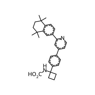 CC1(C)CCC(C)(C)c2cc(-c3cc(-c4ccc(C5(NC(=O)O)CCC5)cc4)ccn3)ccc21